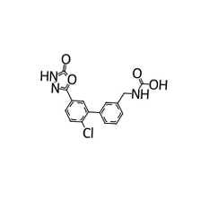 O=C(O)NCc1cccc(-c2cc(-c3n[nH]c(=O)o3)ccc2Cl)c1